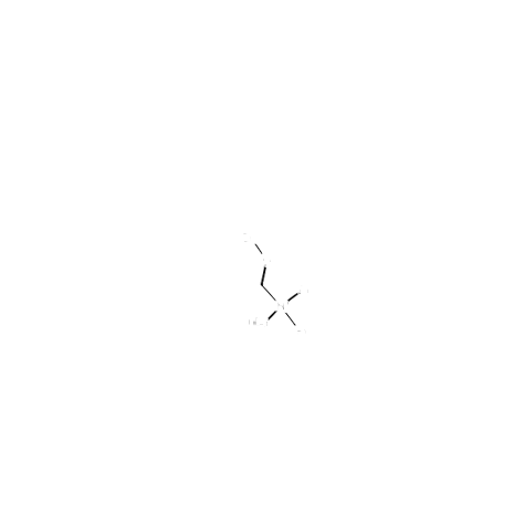 CCCC[N+](CC)(CC)COCC